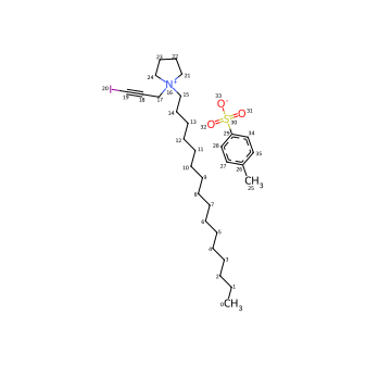 CCCCCCCCCCCCCCCC[N+]1(CC#CI)CCCC1.Cc1ccc(S(=O)(=O)[O-])cc1